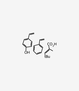 C/C(=C\C(C)(C)C)C(=O)O.C=Cc1ccc(O)cc1.C=Cc1ccccc1